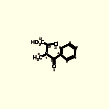 CN(C(=O)c1ccccc1)C(Cl)C(=O)O